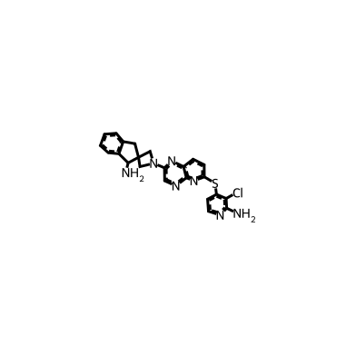 Nc1nccc(Sc2ccc3nc(N4CC5(Cc6ccccc6C5N)C4)cnc3n2)c1Cl